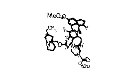 C#Cc1c(F)ccc2cc(OCOC)cc(-c3nc4c5c(nc(OC[C@@]67CCCN6C[C@@H](CC(F)(F)F)C7)nc5c3F)N3CCN(C(=O)OC(C)(C)C)C[C@H]3CC4)c12